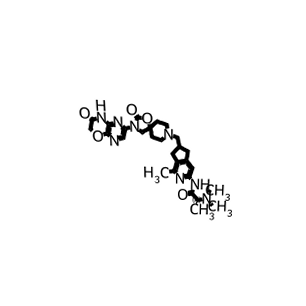 Cc1nc(NC(=O)[C@@H](C)N(C)C)cc2c1CC(CN1CCC3(CC1)CN(c1cnc4c(n1)NC(=O)CO4)C(=O)O3)C2